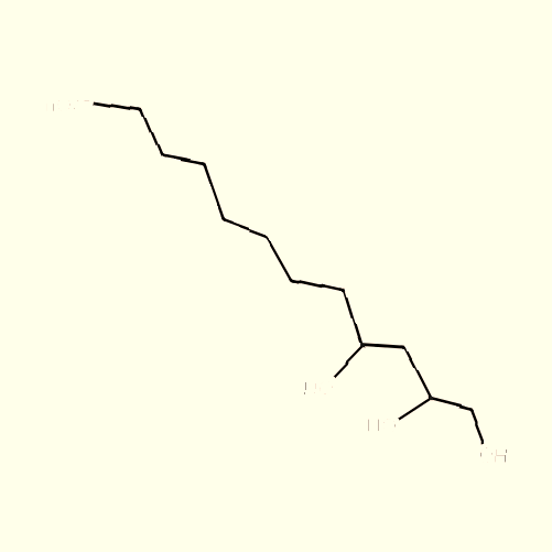 CCCCCCCCCCCCCCCC(O)CC(O)CO